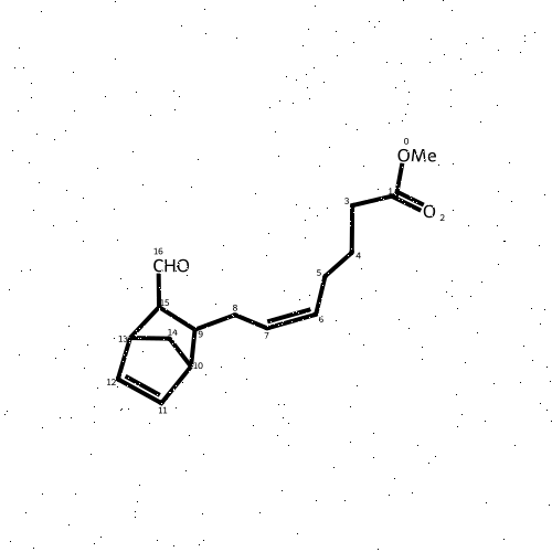 COC(=O)CCC/C=C\CC1C2C=CC(C2)C1C=O